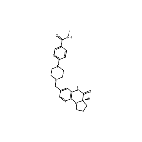 CNC(=O)c1ccc(N2CCN(Cc3cnc4c(c3)NC(=O)[C@@H]3CCCN43)CC2)nc1